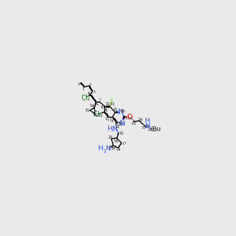 C=C/C=C\C(Cl)=C(/Cc1c(Cl)cc2c(NCC3CCC(N)C3)nc(OCCCNC(C)CC)nc2c1F)C1CC1